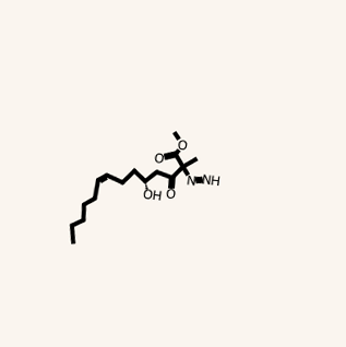 CCCCC/C=C\CC[C@@H](O)CC(=O)C(C)(N=N)C(=O)OC